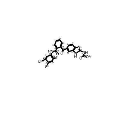 O=C(O)Nc1nc2ccc(C(=O)c3ccccc3C(=O)Nc3cc(Br)c(F)cc3F)cc2[nH]1